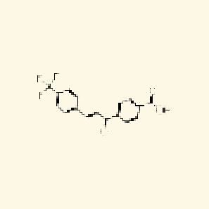 O=C(O)c1ccc(C(=O)C=Cc2ccc(C(F)(F)F)cc2)cc1